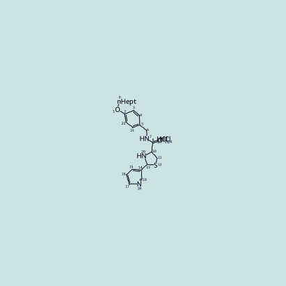 CCCCCCCOc1ccc(CNC(=O)C2CSC(c3cccnc3)N2)cc1.Cl.Cl